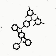 Cc1cc(C)c(B(c2ccc(-n3c4ccccc4c4cc5c(cc43)c3ccccc3n5-c3ccccc3)cc2)c2c(C)cc(C)cc2C)c(C)c1